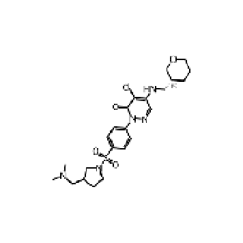 CN(C)CC1CCN(S(=O)(=O)c2ccc(-n3ncc(NC[C@H]4CCCOC4)c(Cl)c3=O)cc2)C1